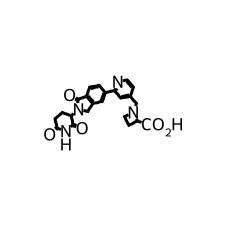 O=C1CCC(N2Cc3cc(-c4cc(CN5CCC5C(=O)O)ccn4)ccc3C2=O)C(=O)N1